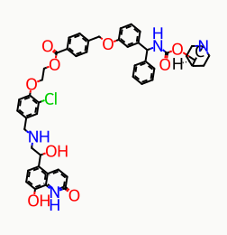 O=C(NC(c1ccccc1)c1cccc(OCc2ccc(C(=O)OCCOc3ccc(CNCC(O)c4ccc(O)c5[nH]c(=O)ccc45)cc3Cl)cc2)c1)O[C@H]1CN2CCC1CC2